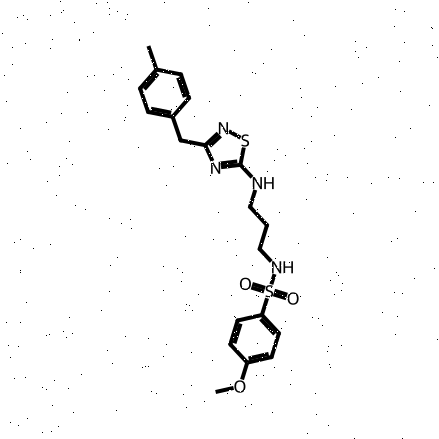 COc1ccc(S(=O)(=O)NCCCNc2nc(Cc3ccc(C)cc3)ns2)cc1